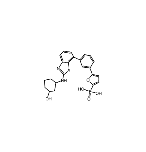 O=P(O)(O)c1ccc(-c2cccc(-c3cccc4nc(NC5CCCC(O)C5)sc34)c2)o1